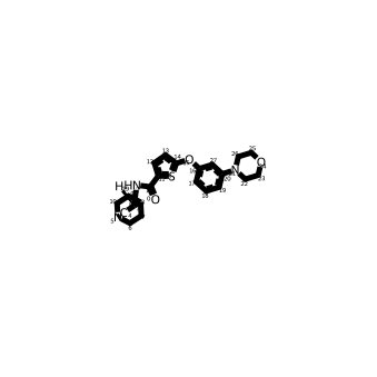 O=C(N[C@H]1CN2CCC1CC2)c1ccc(Oc2cccc(N3CCOCC3)c2)s1